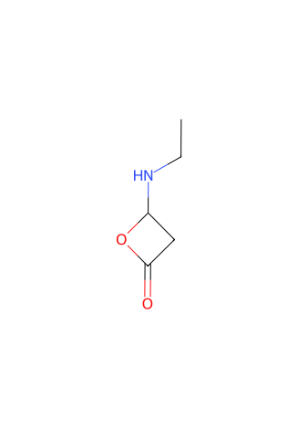 CCNC1CC(=O)O1